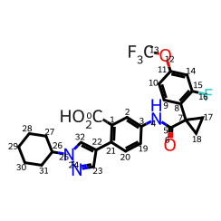 O=C(O)c1cc(NC(=O)C2(c3ccc(OC(F)(F)F)cc3F)CC2)ccc1-c1cnn(C2CCCCC2)c1